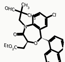 CCOC(=O)C[C@@H]1O[C@@H](c2cccc3ccccc23)c2cc(Cl)ccc2N(CC(C)(C)C=O)C1=O